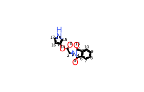 O=C(CN1C(=O)c2ccccc2C1=O)Oc1cc[nH]c1